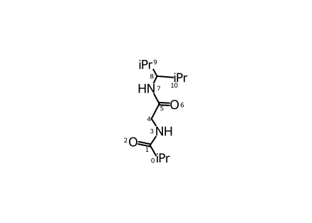 CC(C)C(=O)NCC(=O)NC(C(C)C)C(C)C